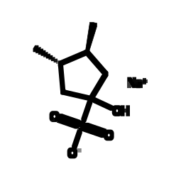 C[C@H]1CC(O)(S(=O)(=O)[O-])C[C@@H]1C.[Na+]